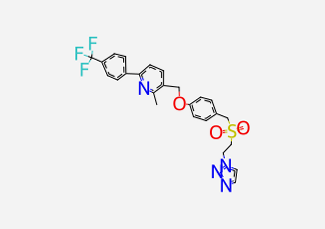 Cc1nc(-c2ccc(C(F)(F)F)cc2)ccc1COc1ccc(CS(=O)(=O)CCn2ccnn2)cc1